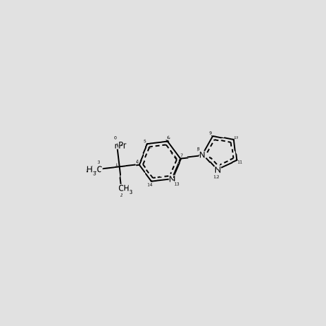 CCCC(C)(C)c1ccc(-n2cccn2)nc1